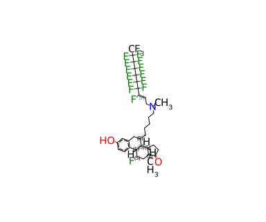 CN(C/C=C(\F)C(F)(F)C(F)(F)C(F)(F)C(F)(F)C(F)(F)C(F)(F)C(F)(F)F)CCCCC[C@@H]1Cc2cc(O)ccc2[C@@H]2[C@@H]1[C@@H]1CCC(=O)[C@@]1(C)C[C@@H]2F